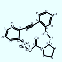 CC(C)(C)OC(=O)N1CCC[C@H]1COc1cnccc1C#Cc1ncccc1N